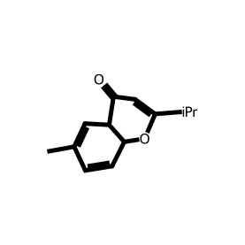 CC1=CC2C(=O)C=C(C(C)C)OC2C=C1